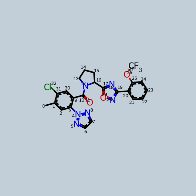 Cc1cc(-n2nccn2)c(C(=O)N2CCCC2c2nc(-c3ccccc3OC(F)(F)F)no2)cc1Cl